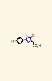 CCn1c(-c2ccc(Cl)cc2)nn(CC(=O)O)c1=O